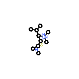 c1ccc(-c2cc(-c3ccccc3)cc(-c3ccc(-c4ccc5sc6cc7c(cc6c5c4)c4ccccc4n7-c4ccccc4)c(-c4nc(-c5ccccc5)nc(-c5ccccc5)n4)c3)c2)cc1